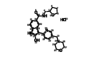 Cl.O=C(NCC1CCCO1)c1ccc2[nH]c(O)c(-c3ccc(CN4CCOCC4)cn3)c2c1